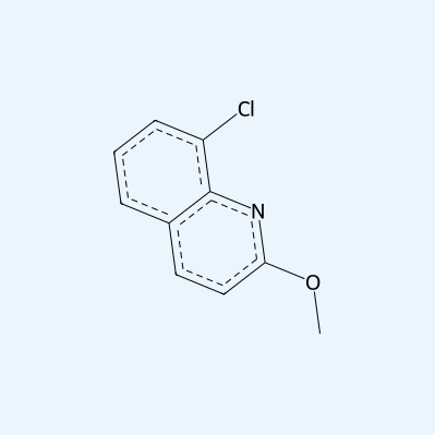 COc1ccc2cccc(Cl)c2n1